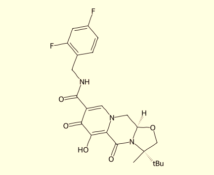 CC(C)(C)[C@@]1(C)CO[C@@H]2Cn3cc(C(=O)NCc4ccc(F)cc4F)c(=O)c(O)c3C(=O)N21